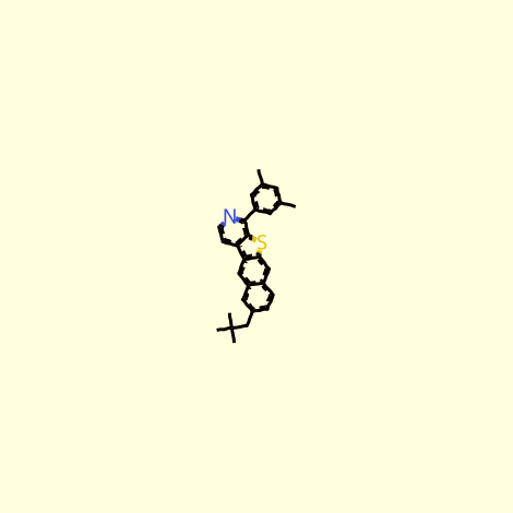 Cc1cc(C)cc(-c2nccc3c2sc2cc4ccc(CC(C)(C)C)cc4cc23)c1